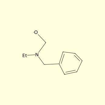 CCN(C[O])Cc1ccccc1